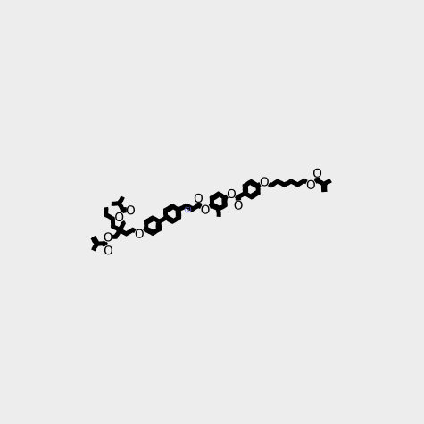 C=C(C)C(=O)OCCCCCCOc1ccc(C(=O)Oc2ccc(OC(=O)/C=C/c3ccc(-c4ccc(OCCC(CCCC)(COC(=O)C(=C)C)COC(=O)C(C)C)cc4)cc3)c(C)c2)cc1